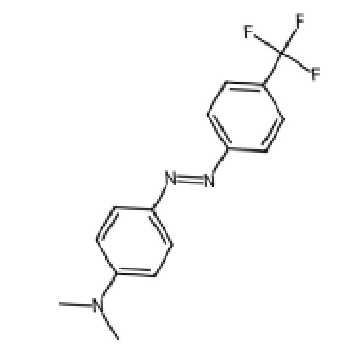 CN(C)c1ccc(N=Nc2ccc(C(F)(F)F)cc2)cc1